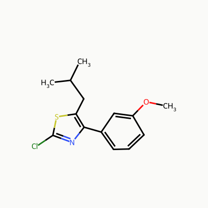 COc1cccc(-c2nc(Cl)sc2CC(C)C)c1